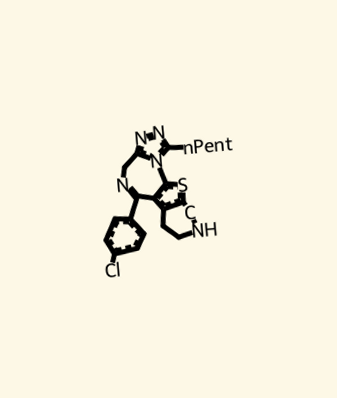 CCCCCc1nnc2n1-c1sc3c(c1C(c1ccc(Cl)cc1)=NC2)CCNC3